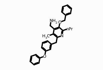 CCCc1nc(Cc2cccc(Oc3ccccc3)c2)c(C)c(CN)c1OCc1ccccc1